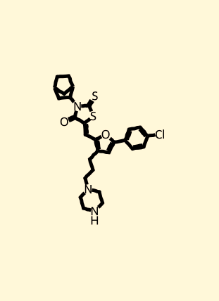 O=C1/C(=C/c2oc(-c3ccc(Cl)cc3)cc2CCCN2CCNCC2)SC(=S)N1C1CC2CCC1C2